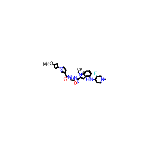 CO[C@H]1C[C@@H](n2ccc(C(=O)NCc3nc(-c4cc5c(N[C@@H]6CCN(C)C[C@@H]6F)cccc5n4CC(F)(F)F)no3)c2)C1